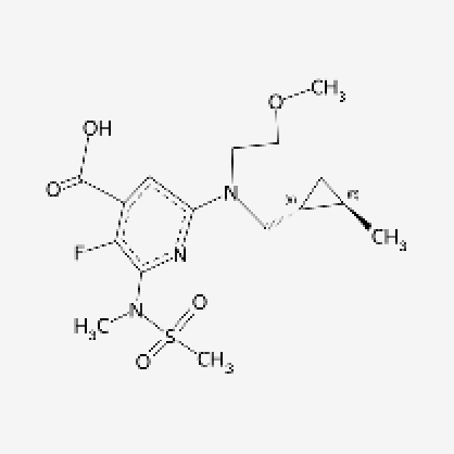 COCCN(C[C@@H]1C[C@H]1C)c1cc(C(=O)O)c(F)c(N(C)S(C)(=O)=O)n1